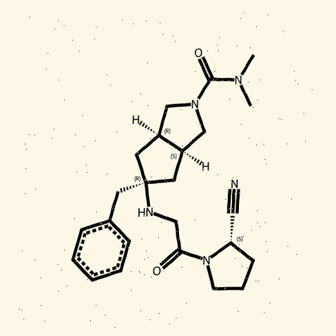 CN(C)C(=O)N1C[C@@H]2C[C@](Cc3ccccc3)(NCC(=O)N3CCC[C@H]3C#N)C[C@@H]2C1